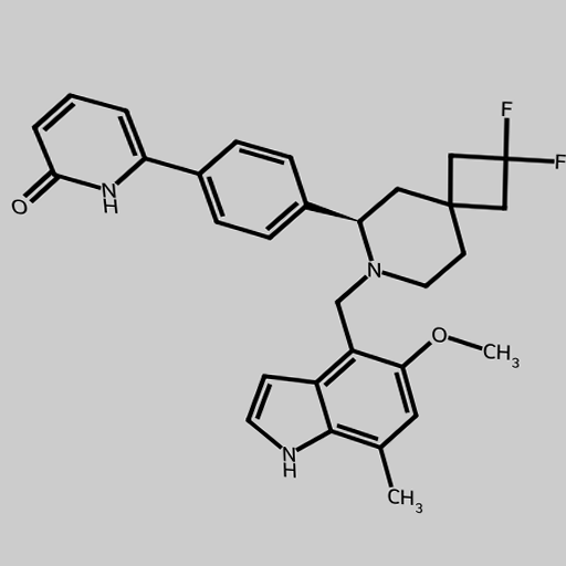 COc1cc(C)c2[nH]ccc2c1CN1CCC2(C[C@@H]1c1ccc(-c3cccc(=O)[nH]3)cc1)CC(F)(F)C2